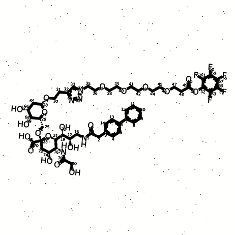 O=C(Cc1ccc(-c2ccccc2)cc1)NC[C@@H](O)[C@@H](O)[C@@H]1O[C@@](OC[C@H]2O[C@@H](OCCc3cn(CCOCCOCCOCCOCCC(=O)Oc4c(F)c(F)c(F)c(F)c4F)nn3)C[C@@H](O)[C@H]2O)(C(=O)O)C[C@H](O)[C@H]1NC(=O)CO